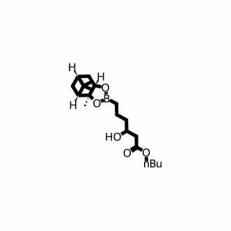 CCCCOC(=O)CC(O)CCCB1O[C@@H]2C[C@@H]3C[C@@H](C3(C)C)[C@]2(C)O1